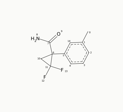 Cc1cccc(C2(C(N)=O)CC2(F)F)c1